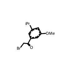 COc1cc(C(=O)CBr)cc(C(C)C)c1